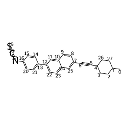 CC1CCC(C#Cc2ccc3cc(-c4ccc(N=C=S)cc4)ccc3c2)CC1